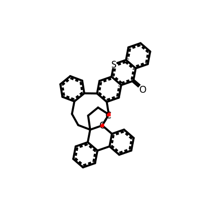 O=c1c2ccccc2sc2cc3c(cc12)C12CCC4(CCc5ccccc5-3)c3ccccc3-c3ccccc3C14CC2